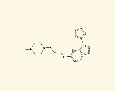 CN1CCN(CCCOc2ccc3ncc(-c4cccs4)n3n2)CC1